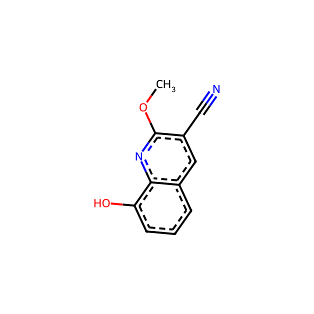 COc1nc2c(O)cccc2cc1C#N